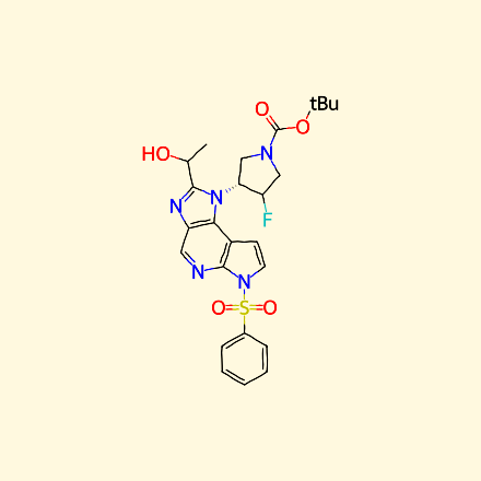 CC(O)c1nc2cnc3c(ccn3S(=O)(=O)c3ccccc3)c2n1[C@@H]1CN(C(=O)OC(C)(C)C)CC1F